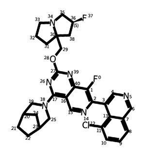 Fc1c(-c2cncc3cccc(Cl)c23)ncc2c(N3CC4CCC(C4)C3)nc(OCC34CCCN3C[C@@H](F)C4)nc12